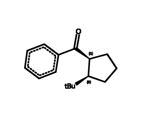 CC(C)(C)[C@@H]1CCC[C@@H]1C(=O)c1ccccc1